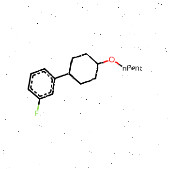 CCCCCOC1CCC(c2cccc(F)c2)CC1